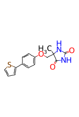 CC1(COc2ccc(-c3cccs3)cc2)NC(=O)NC1=O